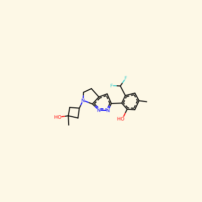 Cc1cc(O)c(-c2cc3c(nn2)N(C2CC(C)(O)C2)CC3)c(C(F)F)c1